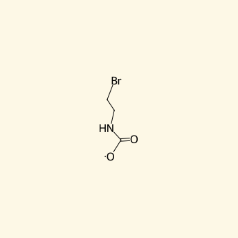 [O]C(=O)NCCBr